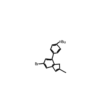 CCCCc1ccc(-c2cc(Br)cc3c2CC(C)=C3)cc1